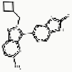 Cc1ccc2nn(CC3CCC3)c(-c3ccc4[nH]c(=O)[nH]c4c3)c2n1